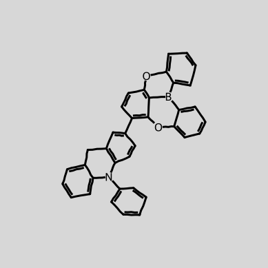 c1ccc(N2c3ccccc3Cc3cc(-c4ccc5c6c4Oc4ccccc4B6c4ccccc4O5)ccc32)cc1